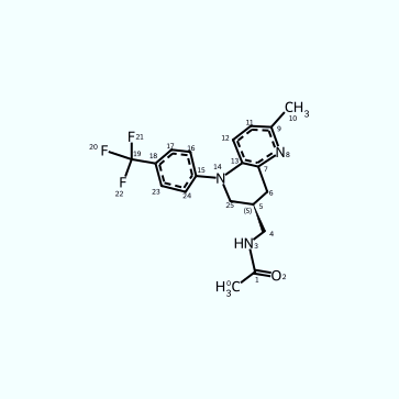 CC(=O)NC[C@@H]1Cc2nc(C)ccc2N(c2ccc(C(F)(F)F)cc2)C1